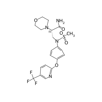 CS(=O)(=O)N(C[C@@H](C(N)=O)N1CCOCC1)c1ccc(Oc2ccc(C(F)(F)F)cn2)cc1